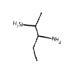 CCC(N)C(C)[SiH3]